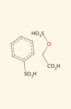 O=C(O)COS(=O)(=O)O.O=S(=O)(O)c1ccccc1